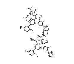 CCc1ccc(F)cc1[C@H](Cn1c(=O)n(C(C)(C)C(=O)NC(C)C)c(=O)c2c(C)c(-n3ncc(CC(C)NC(=O)C(C)(C)n4c(=O)c5c(C)c(-n6nccn6)sc5n(C[C@H](OC[C@H](C)C#N)c5cc(F)ccc5CC)c4=O)n3)sc21)OC[C@@H](C)C#N